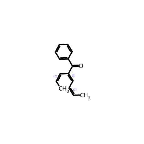 C\C=C/C=C(\C=C/C)C(=O)c1ccccc1